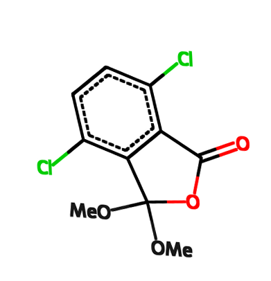 COC1(OC)OC(=O)c2c(Cl)ccc(Cl)c21